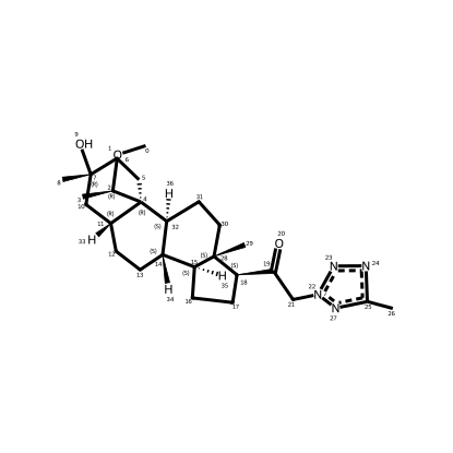 CO[C@H](C)[C@]12CC[C@@](C)(O)C[C@H]1CC[C@H]1[C@@H]3CC[C@H](C(=O)Cn4nnc(C)n4)[C@@]3(C)CC[C@@H]12